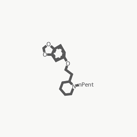 CCCCCN1CCCCC1CCOc1ccc2c(c1)OCO2